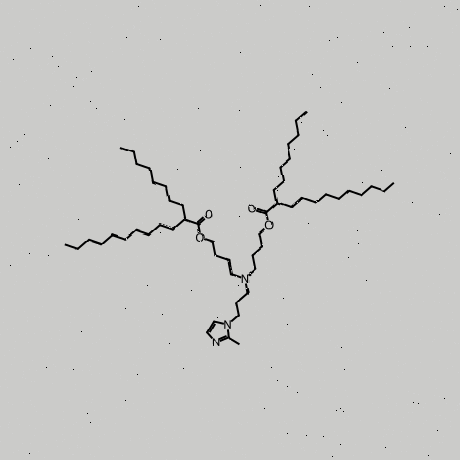 CCCCCCCCCCC(CCCCCCCC)C(=O)OCCCCN(CCCCOC(=O)C(CCCCCCCC)CCCCCCCCCC)CCCn1ccnc1C